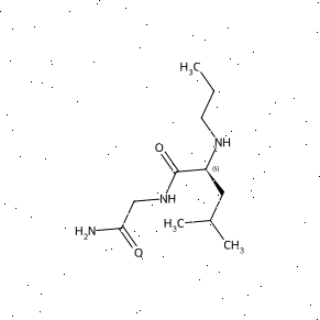 CCCN[C@@H](CC(C)C)C(=O)NCC(N)=O